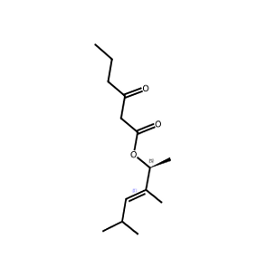 CCCC(=O)CC(=O)O[C@@H](C)/C(C)=C/C(C)C